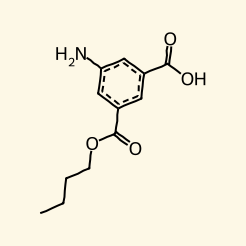 CCCCOC(=O)c1cc(N)cc(C(=O)O)c1